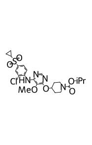 COc1c(Nc2ccc(S(=O)(=O)C3CC3)cc2Cl)ncnc1OC1CCN(C(=O)OC(C)C)CC1